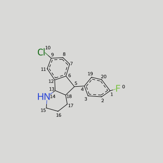 Fc1ccc(C2c3ccc(Cl)cc3C3NCCCC32)cc1